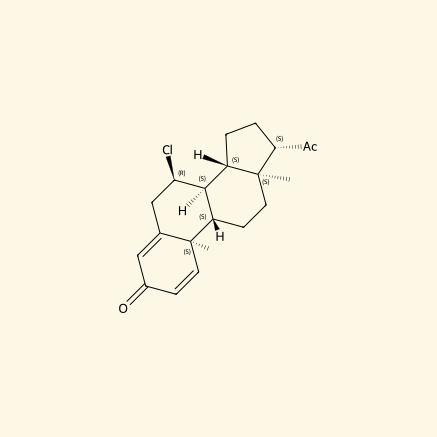 CC(=O)[C@H]1CC[C@H]2[C@@H]3[C@H](Cl)CC4=CC(=O)C=C[C@]4(C)[C@H]3CC[C@]12C